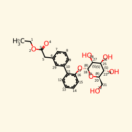 CCOC(=O)Cc1cccc(-c2c[c]ccc2O[C@H]2O[C@H](CO)[C@@H](O)[C@H](O)[C@@H]2O)c1